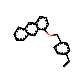 C=Cc1ccc(COc2cccc3cc4ccccc4cc23)cc1